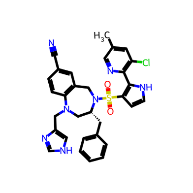 Cc1cnc(-c2[nH]ccc2S(=O)(=O)N2Cc3cc(C#N)ccc3N(Cc3c[nH]cn3)C[C@H]2Cc2ccccc2)c(Cl)c1